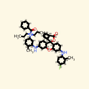 CCC[N+](CCC)(C(=O)c1ccccc1)c1ccc(C)c(Nc2ccc3c(c2)Oc2cc(Nc4ccc(F)cc4C)ccc2C32OC(=O)c3ccccc32)c1